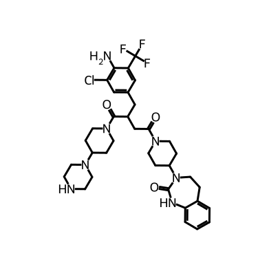 Nc1c(Cl)cc(CC(CC(=O)N2CCC(N3CCc4ccccc4NC3=O)CC2)C(=O)N2CCC(N3CCNCC3)CC2)cc1C(F)(F)F